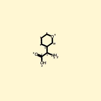 NC(C(=O)O)C1CCCOC1